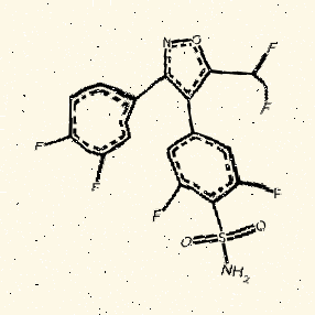 NS(=O)(=O)c1c(F)cc(-c2c(-c3ccc(F)c(F)c3)noc2C(F)F)cc1F